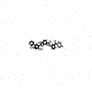 COc1ncccc1-c1ccc(O)c(-c2nc3cc(C(=O)Nc4cccc(C(=O)N5CCN(C)CC5)c4)ccc3[nH]2)c1